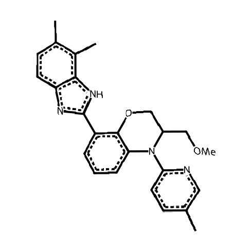 COCC1COc2c(-c3nc4ccc(C)c(C)c4[nH]3)cccc2N1c1ccc(C)cn1